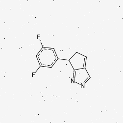 Fc1cc(F)cc(C2CC=C3C=NN=C32)c1